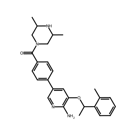 Cc1ccccc1C(C)Oc1cc(-c2ccc(C(=O)N3CC(C)NC(C)C3)cc2)cnc1N